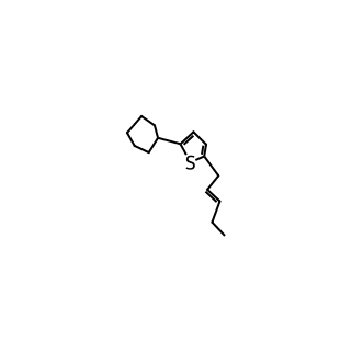 CCC=CCc1ccc(C2CCCCC2)s1